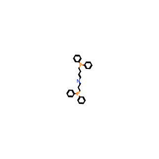 C(=CN=CCCP(c1ccccc1)c1ccccc1)CCP(c1ccccc1)c1ccccc1